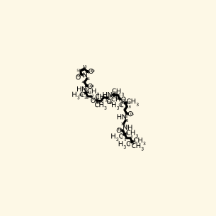 CC(C)(C)CCC(C)(C)C(=O)NCCNC(=O)CCC(C)(C)OCCC(C)(C)NC(=O)CCC(C)(C)OCCC(C)(C)NC(=O)CCN1C(=O)C=CC1=O